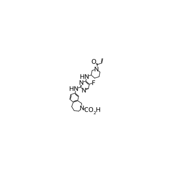 C=CC(=O)N1CCCC(Nc2nc(Nc3ccc4c(c3)CN(C(=O)O)CCC4)ncc2F)C1